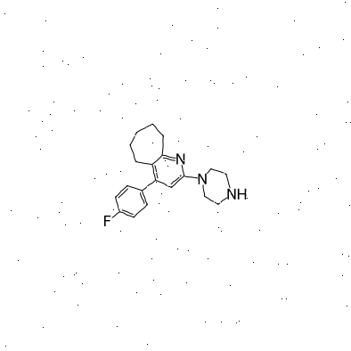 Fc1ccc(-c2cc(N3CCNCC3)nc3c2CCCCC3)cc1